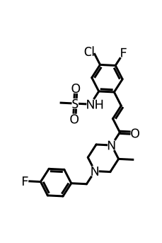 CC1CN(Cc2ccc(F)cc2)CCN1C(=O)C=Cc1cc(F)c(Cl)cc1NS(C)(=O)=O